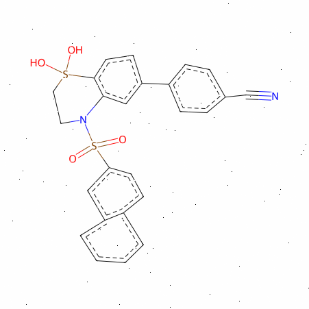 N#Cc1ccc(-c2ccc3c(c2)N(S(=O)(=O)c2ccc4ccccc4c2)CCS3(O)O)cc1